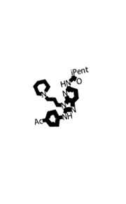 CCCC(C)C(=O)Nc1ccc2nc(Nc3ccc(C(C)=O)cc3)n(CCCN3CCCCC3)c2n1